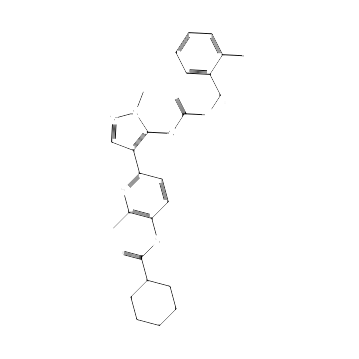 Cc1nc(-c2cnn(C)c2NC(=O)O[C@@H](C)c2ccccc2F)ccc1NC(=O)C1CCCCC1